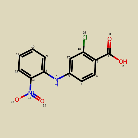 O=C(O)c1ccc(Nc2ccccc2[N+](=O)[O-])cc1Cl